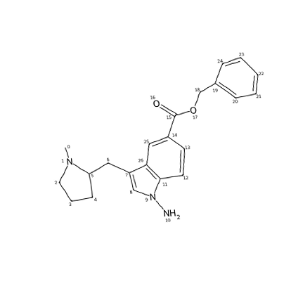 CN1CCCC1Cc1cn(N)c2ccc(C(=O)OCc3ccccc3)cc12